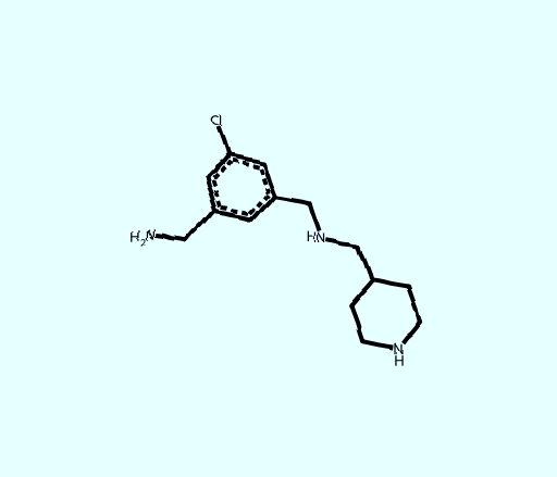 NCc1cc(Cl)cc(CNCC2CCNCC2)c1